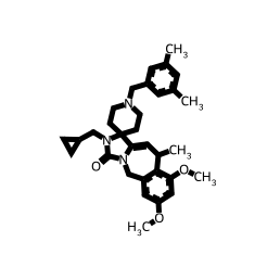 COc1cc2c(c(OC)c1)C(C)C=C1N(C2)C(=O)N(CC2CC2)C12CCN(Cc1cc(C)cc(C)c1)CC2